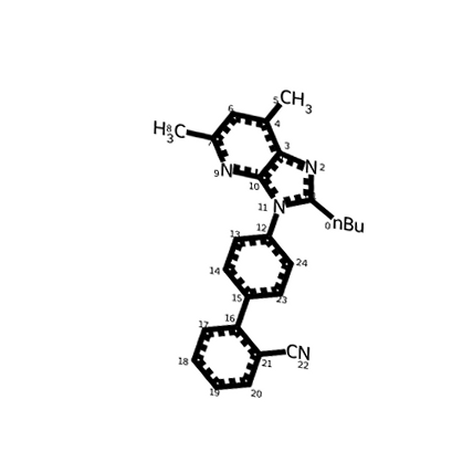 CCCCc1nc2c(C)cc(C)nc2n1-c1ccc(-c2ccccc2C#N)cc1